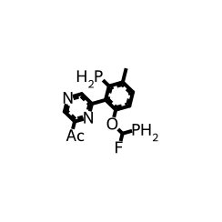 CC(=O)c1cncc(-c2c(OC(F)P)ccc(C)c2P)n1